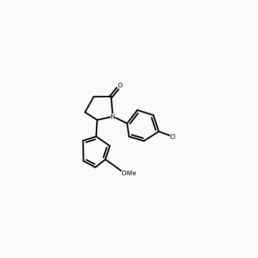 COc1cccc(C2CCC(=O)N2c2ccc(Cl)cc2)c1